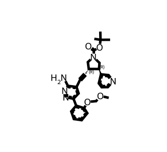 COCOc1ccccc1-c1cc(C#C[C@@H]2CN(C(=O)OC(C)(C)C)C[C@H]2c2cccnc2)c(N)nn1